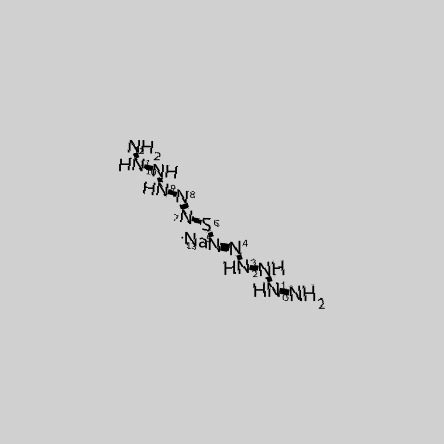 NNNNN=NSN=NNNNN.[Na]